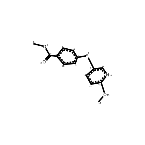 COC(=O)c1ccc(Sc2ccc(OC)nc2)cc1